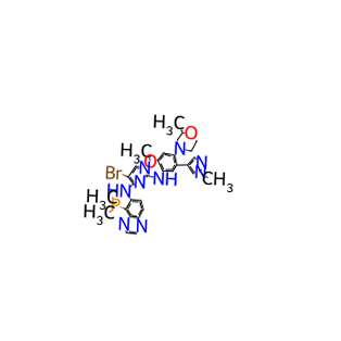 COc1cc(N2CCO[C@H](C)C2)c(-c2cnn(C)c2)cc1Nc1ncc(Br)c(Nc2ccc3nccnc3c2P(C)C)n1